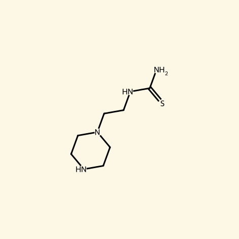 NC(=S)NCCN1CCNCC1